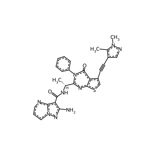 Cc1c(C#Cc2csc3nc([C@@H](C)NC(=O)c4c(N)nn5cccnc45)n(-c4ccccc4)c(=O)c23)cnn1C